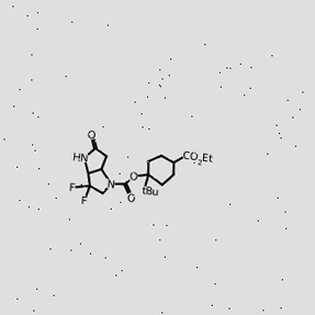 CCOC(=O)C1CCC(OC(=O)N2CC(F)(F)C3NC(=O)CC32)(C(C)(C)C)CC1